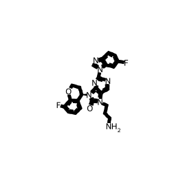 NCCCn1c(=O)n([C@@H]2CCOc3c(F)cccc32)c2nc(-n3cnc4ccc(F)cc43)ncc21